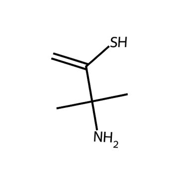 C=C(S)C(C)(C)N